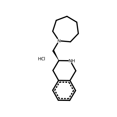 Cl.c1ccc2c(c1)CN[C@H](CN1CCCCCC1)C2